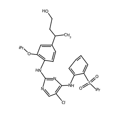 CC(C)Oc1cc(C(C)CCO)ccc1Nc1ncc(Cl)c(Nc2ccccc2S(=O)(=O)C(C)C)n1